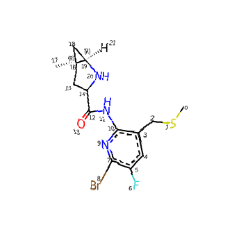 CSCc1cc(F)c(Br)nc1NC(=O)C1C[C@@]2(C)C[C@H]2N1